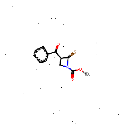 CC(C)(C)OC(=O)N1CC(C(=O)c2ccccc2)C1=S